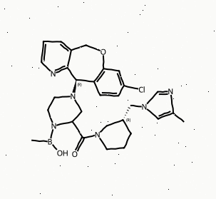 CB(O)N1CCN([C@@H]2c3ccc(Cl)cc3OCc3cccnc32)CC1C(=O)N1CCC[C@@H](Cn2cnc(C)c2)C1